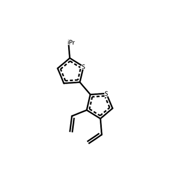 C=Cc1csc(-c2ccc(C(C)C)s2)c1C=C